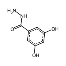 NNC(=O)c1cc(O)cc(O)c1